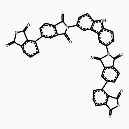 O=C1OC(=O)c2c1cccc2-c1ccc2c(c1)C(=O)N(c1ccc3[nH]c4ccc(N5C(=O)c6ccc(-c7cccc8c7C(=O)OC8=O)cc6C5=O)cc4c3c1)C2=O